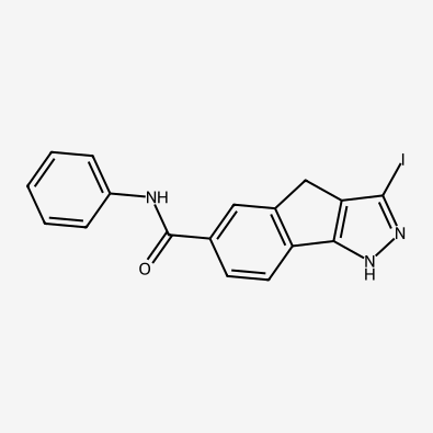 O=C(Nc1ccccc1)c1ccc2c(c1)Cc1c(I)n[nH]c1-2